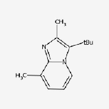 Cc1nc2c(C)cccn2c1C(C)(C)C